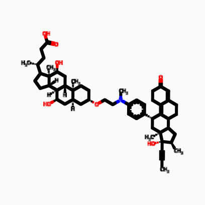 CC#C[C@]1(O)[C@H](C)CC2C3CCC4=CC(=O)CCC4=C3[C@@H](c3ccc(N(C)CCO[C@H]4CC[C@@]5(C)[C@@H](C4)C[C@@H](O)[C@@H]4[C@@H]5C[C@H](O)[C@]5(C)C([C@H](C)CCC(=O)O)CC[C@@H]45)cc3)C[C@@]21C